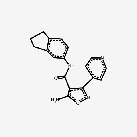 Nc1onc(-c2ccncc2)c1C(=O)Nc1ccc2c(c1)CCC2